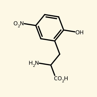 NC(Cc1cc([N+](=O)[O-])ccc1O)C(=O)O